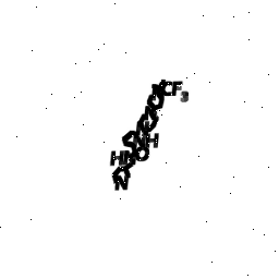 CC(C)(N1CCC(N2CCCN(C3C=CC=C(C(=O)NCc4cccnc4)N3)CC2)CC1)C(F)(F)F